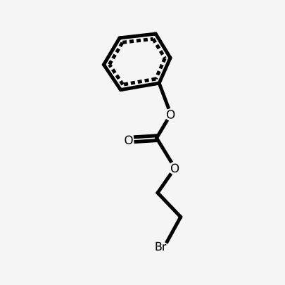 O=C(OCCBr)Oc1ccccc1